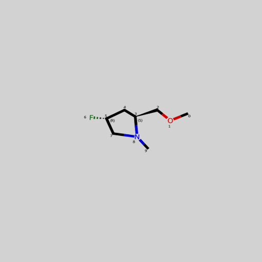 COC[C@@H]1C[C@@H](F)CN1C